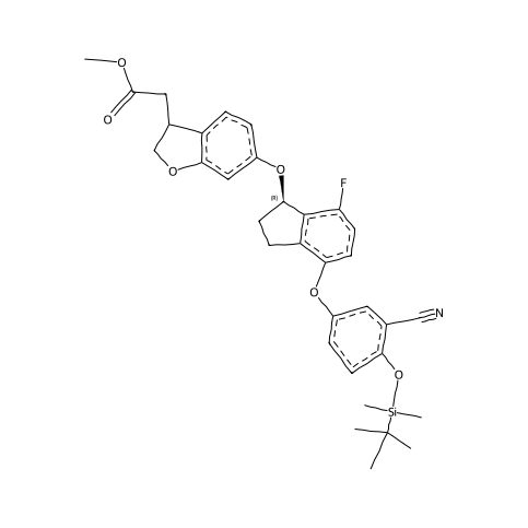 COC(=O)CC1COc2cc(O[C@@H]3CCc4c(Oc5ccc(O[Si](C)(C)C(C)(C)C)c(C#N)c5)ccc(F)c43)ccc21